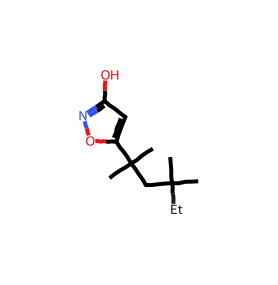 CCC(C)(C)CC(C)(C)c1cc(O)no1